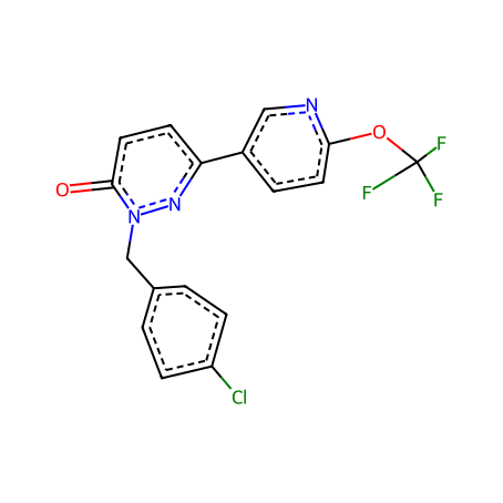 O=c1ccc(-c2ccc(OC(F)(F)F)nc2)nn1Cc1ccc(Cl)cc1